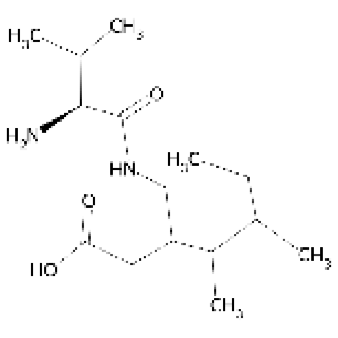 CCC(C)C(C)C(CNC(=O)[C@@H](N)C(C)C)CC(=O)O